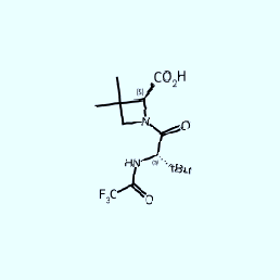 CC(C)(C)[C@H](NC(=O)C(F)(F)F)C(=O)N1CC(C)(C)[C@H]1C(=O)O